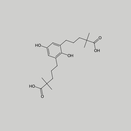 CC(C)(CCCc1cc(O)cc(CCCC(C)(C)C(=O)O)c1O)C(=O)O